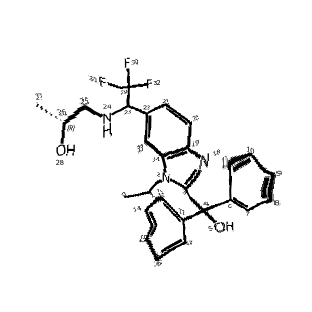 CCn1c(C(O)(c2ccccc2)c2ccccc2)nc2ccc(C(NC[C@@H](C)O)C(F)(F)F)cc21